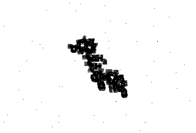 COc1ccc2nccc(C[C@H](N)CNC[C@@H]3CN(c4ccc5c(c4)NC(=O)CS5)C(=O)O3)c2n1